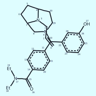 C=CCN1C2CCC1CN(C(c1ccc(C(=O)N(CC)CC)cc1)c1cccc(O)c1)CC2